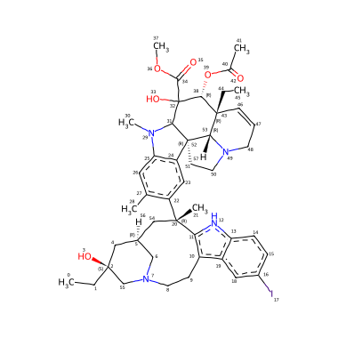 CC[C@]1(O)C[C@@H]2CN(CCc3c([nH]c4ccc(I)cc34)[C@@](C)(c3cc4c(cc3C)N(C)C3C(O)(C(=O)OC)[C@H](OC(C)=O)[C@]5(CC)C=CCN6CC[C@]43[C@@H]65)C2)C1